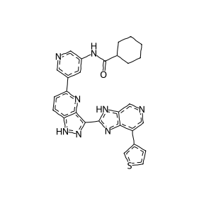 O=C(Nc1cncc(-c2ccc3[nH]nc(-c4nc5c(-c6ccsc6)cncc5[nH]4)c3n2)c1)C1CCCCC1